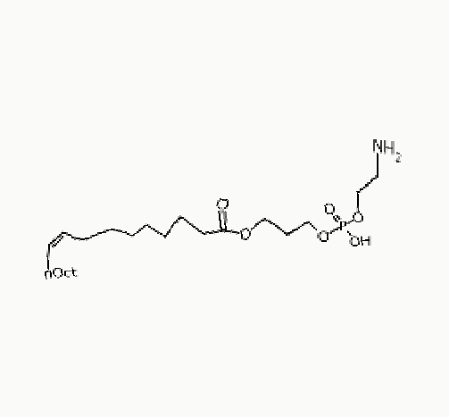 CCCCCCCC/C=C\CCCCCCCC(=O)OCCCOP(=O)(O)OCCN